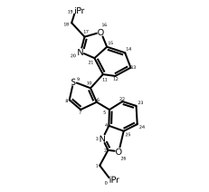 CC(C)Cc1nc2c(-c3ccsc3-c3cccc4oc(CC(C)C)nc34)cccc2o1